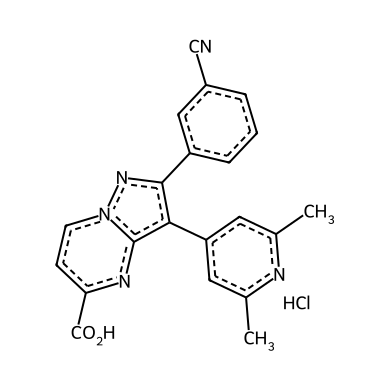 Cc1cc(-c2c(-c3cccc(C#N)c3)nn3ccc(C(=O)O)nc23)cc(C)n1.Cl